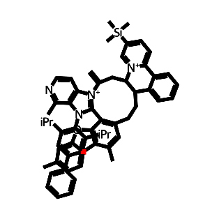 C=C1CC2C(CCc3cc(C)c4c(oc5cc(C)ccc54)c3-c3n(-c4c(C(C)C)cc(-c5ccccc5)cc4C(C)C)c4c(C)nccc4[n+]31)c1ccccc1-c1ccc([Si](C)(C)C)c[n+]12